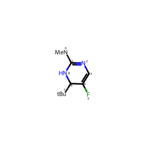 CNC1=NC=C(F)C(C(C)(C)C)N1